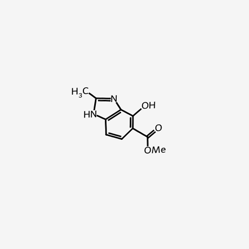 COC(=O)c1ccc2[nH]c(C)nc2c1O